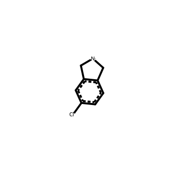 Clc1ccc2c(c1)C[N]C2